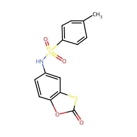 Cc1ccc(S(=O)(=O)Nc2ccc3oc(=O)sc3c2)cc1